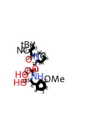 COc1cccc(CC(NC(=O)OC[C@H]2CCCCN2C(=O)C(C#N)=CC(C)(C)C)B(O)O)c1